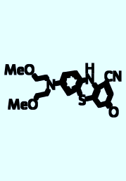 COCCN(CCOC)c1ccc2c(c1)SC1=C(N2)C(C#N)=CC(=O)C1